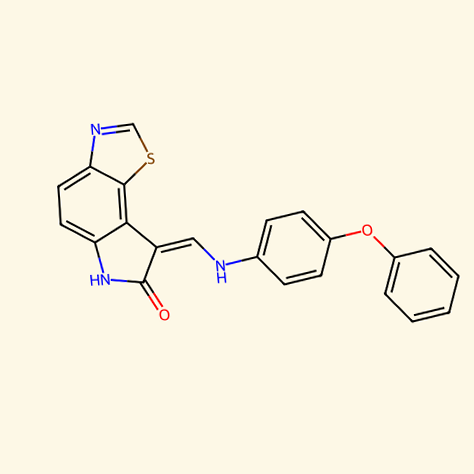 O=C1Nc2ccc3ncsc3c2C1=CNc1ccc(Oc2ccccc2)cc1